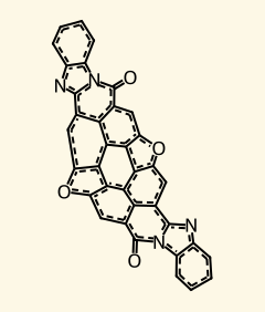 O=c1c2cc3oc4cc5c6c(cc7oc8cc(c2c2c3c4c6c7c82)c2nc3ccccc3n12)c(=O)n1c2ccccc2nc51